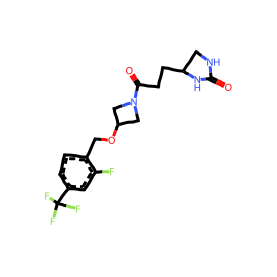 O=C1NCC(CCC(=O)N2CC(OCc3ccc(C(F)(F)F)cc3F)C2)N1